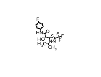 CC(C)N1N=C(C(F)(F)F)SC1C(O)C(=O)Nc1ccc(F)cc1